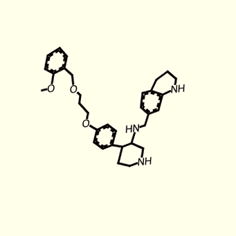 COc1ccccc1COCCCOc1ccc(C2CCNCC2NCc2ccc3c(c2)NCCC3)cc1